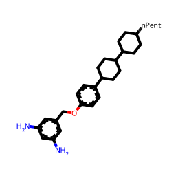 CCCCCC1CCC(C2CCC(c3ccc(OCc4cc(N)cc(N)c4)cc3)CC2)CC1